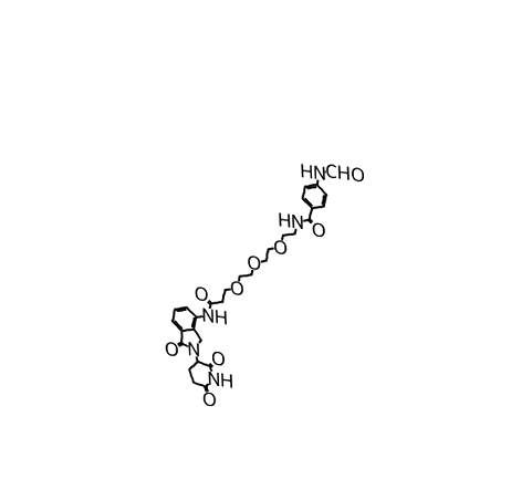 O=CNc1ccc(C(=O)NCCOCCOCCOCCC(=O)Nc2cccc3c2CN(C2CCC(=O)NC2=O)C3=O)cc1